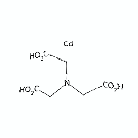 O=C(O)CN(CC(=O)O)CC(=O)O.[Cd]